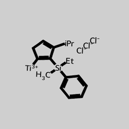 CC[Si](C)(C1=[C]([Ti+3])CC=C1C(C)C)c1ccccc1.[Cl-].[Cl-].[Cl-]